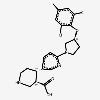 Cc1cc(Cl)c(O[C@H]2CCN(c3ccc([C@H]4CCNC[C@@H]4C(=O)O)cn3)C2)c(Cl)c1